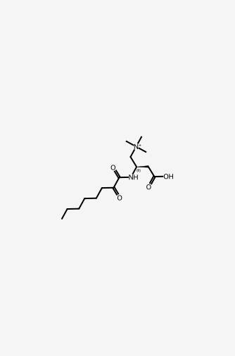 CCCCCCC(=O)C(=O)N[C@H](CC(=O)O)C[N+](C)(C)C